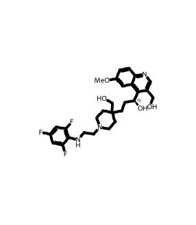 COc1ccc2ncc(CO)c([C@@H](O)CCC3(CO)CCN(CCNc4c(F)cc(F)cc4F)CC3)c2c1